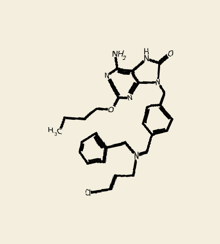 CCCCOc1nc(N)c2[nH]c(=O)n(Cc3ccc(CN(CCCCl)Cc4ccccc4)cc3)c2n1